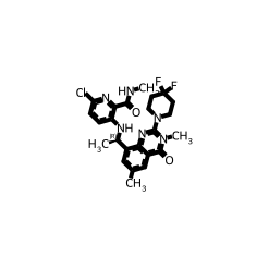 CNC(=O)c1nc(Cl)ccc1N[C@H](C)c1cc(C)cc2c(=O)n(C)c(N3CCC(F)(F)CC3)nc12